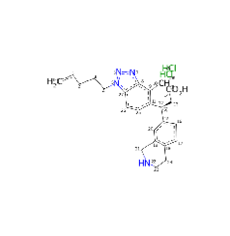 C=CCCCn1nnc2c(C)c([C@@H](CC(=O)O)c3ccc4c(c3)CNCC4)ccc21.Cl.Cl